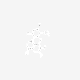 Nc1cc(-n2ccc(=O)c3cc(F)c(F)c(F)c32)c(F)cc1F